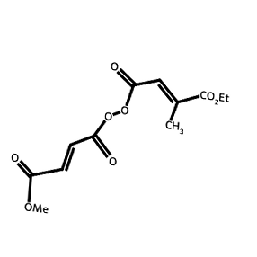 CCOC(=O)/C(C)=C/C(=O)OOC(=O)/C=C/C(=O)OC